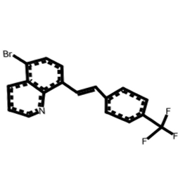 FC(F)(F)c1ccc(/C=C/c2ccc(Br)c3cccnc23)cc1